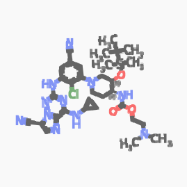 CN(C)CCOC(=O)N[C@@H]1CCN(c2cc(C#N)cc(Nc3nc(NC4CC4)c4ncc(C#N)n4n3)c2Cl)C[C@H]1O[Si](C)(C)C(C)(C)C